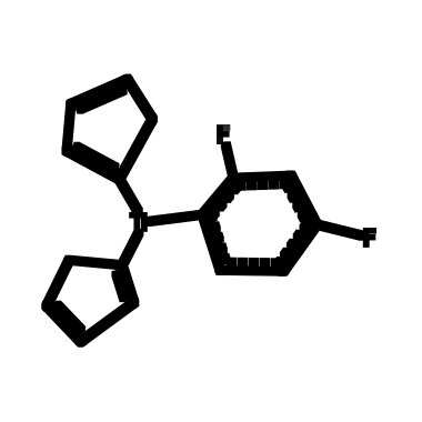 Fc1cc[c]([Ti]([C]2=CC=CC2)[C]2=CC=CC2)c(F)c1